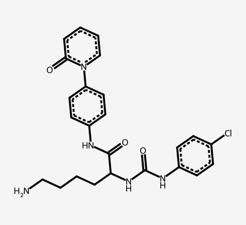 NCCCCC(NC(=O)Nc1ccc(Cl)cc1)C(=O)Nc1ccc(-n2ccccc2=O)cc1